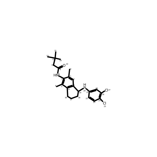 Cc1cc2c(c(C)c1NC(=O)CC(C)(C)C)CCCC2Nc1ccc(Cl)c(Cl)c1